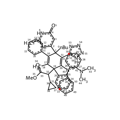 CCCCC1(c2cc(=O)[nH]c(C)n2)C(c2ccccc2)=C(C)C(c2ccccc2-c2ccccc2)(C(C(=O)OC)C2CC2)C([N+](=CN(C)C)c2ccccc2)=C1c1nnn[nH]1